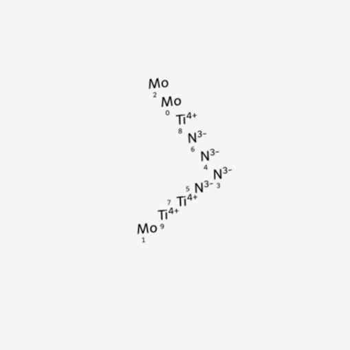 [Mo].[Mo].[Mo].[N-3].[N-3].[N-3].[N-3].[Ti+4].[Ti+4].[Ti+4]